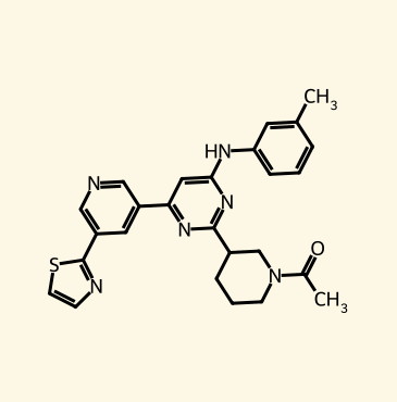 CC(=O)N1CCCC(c2nc(Nc3cccc(C)c3)cc(-c3cncc(-c4nccs4)c3)n2)C1